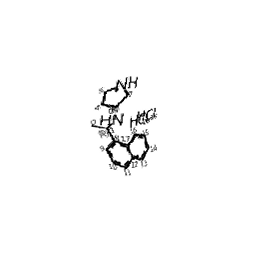 C[C@@H](N[C@@H]1CCNC1)c1cccc2ccccc12.Cl.Cl